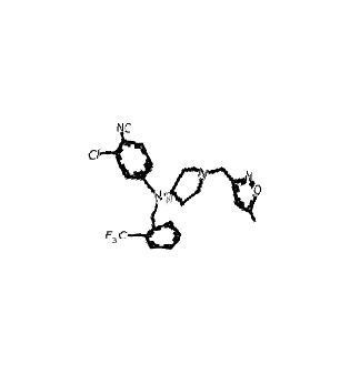 [C-]#[N+]c1ccc(N(Cc2ccccc2C(F)(F)F)[C@H]2CCN(Cc3cc(C)on3)C2)cc1Cl